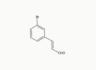 O=[C]/C=C/c1cccc(Br)c1